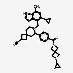 Cc1cc(C2CC2)c(CN2CCC3(CC(C#N)C3)CC2c2ccc(C(=O)N3CC4(C3)CN(C3CC3)C4)cc2)c2cc[nH]c12